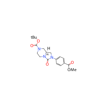 COC(=O)c1ccc(N2C[C@@H]3CN(C(=O)OC(C)(C)C)CCN3C2=O)cc1